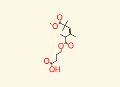 COC(=O)C(C)(C)C=C(C)C(C)C(=O)OCCCC(=O)O